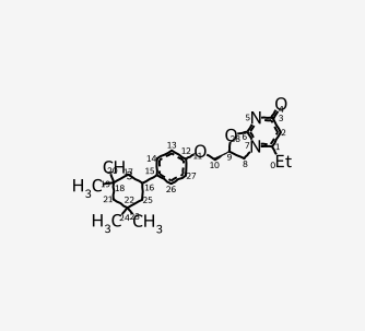 CCc1cc(=O)nc2n1C[C@@H](COc1ccc(C3CC(C)(C)CC(C)(C)C3)cc1)O2